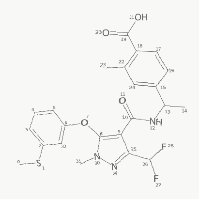 CSc1cccc(Oc2c(C(=O)NC(C)c3ccc(C(=O)O)c(C)c3)c(C(F)F)nn2C)c1